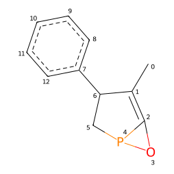 CC1=C2OP2CC1c1ccccc1